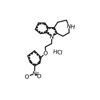 Cl.O=[N+]([O-])c1cccc(OCCn2c3c(c4ccccc42)CCNCC3)c1